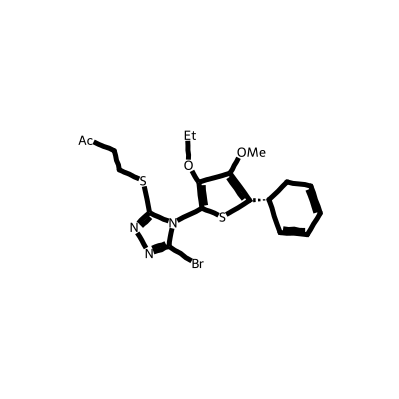 CCOc1c(-n2c(Br)nnc2SCCC(C)=O)sc([C@H]2C=CC=CC2)c1OC